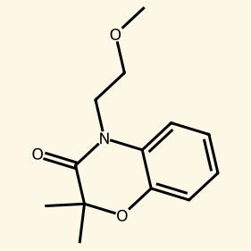 COCCN1C(=O)C(C)(C)Oc2ccccc21